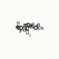 N#Cc1ccc(NC(=O)N2CCn3nc(-c4cc(F)c5cn[nH]c5c4)c(C(N)=O)c3C2)cc1Cl